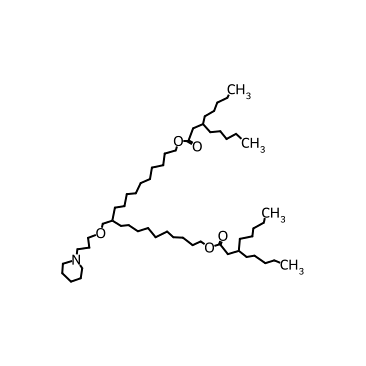 CCCCCC(CCCCC)CC(=O)OCCCCCCCCCCC(CCCCCCCCCCOC(=O)CC(CCCCC)CCCCC)COCCCN1CCCCC1